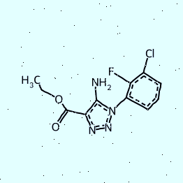 CCOC(=O)c1nnn(-c2cccc(Cl)c2F)c1N